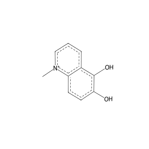 C[n+]1cccc2c(O)c(O)ccc21